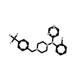 Fc1ccccc1N(c1ccncn1)N1CCN(Cc2ccc(C(F)(F)F)cc2)CC1